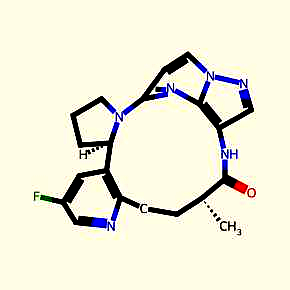 C[C@@H]1CCc2ncc(F)cc2[C@H]2CCCN2c2ccn3ncc(c3n2)NC1=O